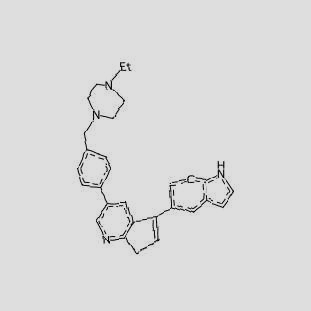 CCN1CCN(Cc2ccc(-c3cnc4c(c3)C(c3ccc5[nH]ccc5c3)=CC4)cc2)CC1